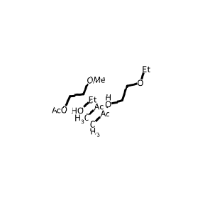 CC(C)=O.CC(C)=O.CCO.CCOCCO.COCCOC(C)=O